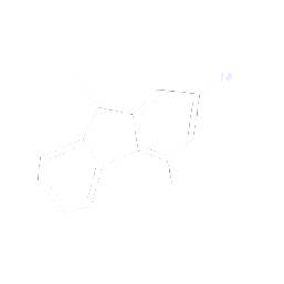 Nc1cc(Cl)c2c(c1)C(O)c1ccccc1-2